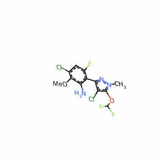 COc1c(Cl)cc(F)c(-c2nn(C)c(OC(F)F)c2Cl)c1N